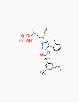 Cc1ccccc1-c1cc(N(CCI)CCN(C)COP(=O)(O)O)ncc1N(C)C(=O)C(C)(C)c1cc(C(F)(F)F)cc(C(F)(F)F)c1